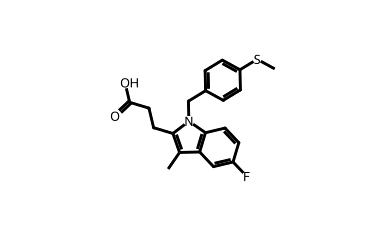 CSc1ccc(Cn2c(CCC(=O)O)c(C)c3cc(F)ccc32)cc1